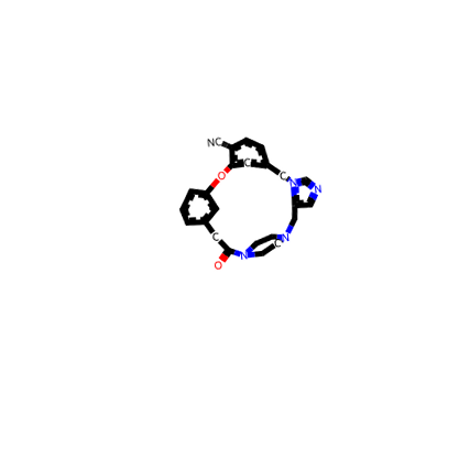 N#Cc1ccc2cc1Oc1cccc(c1)CC(=O)N1CCN(CC1)Cc1cncn1C2